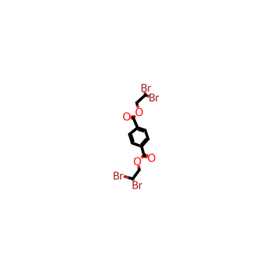 O=C(OCC(Br)Br)c1ccc(C(=O)OCC(Br)Br)cc1